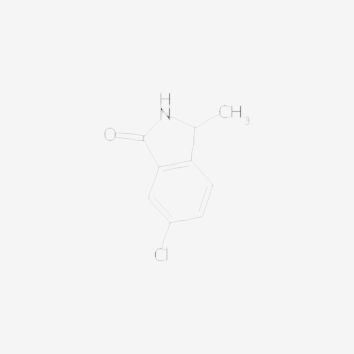 CC1NC(=O)c2cc(Cl)ccc21